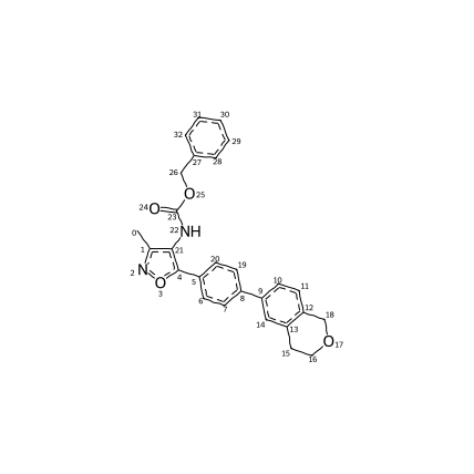 Cc1noc(-c2ccc(-c3ccc4c(c3)CCOC4)cc2)c1NC(=O)OCc1ccccc1